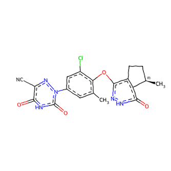 Cc1cc(-n2nc(C#N)c(=O)[nH]c2=O)cc(Cl)c1Oc1n[nH]c(=O)c2c1CC[C@H]2C